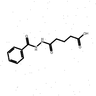 O=C(O)CCCC(=O)NNC(=O)c1ccccc1